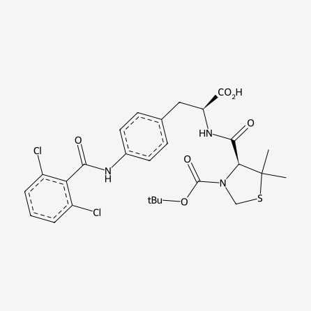 CC(C)(C)OC(=O)N1CSC(C)(C)[C@@H]1C(=O)N[C@@H](Cc1ccc(NC(=O)c2c(Cl)cccc2Cl)cc1)C(=O)O